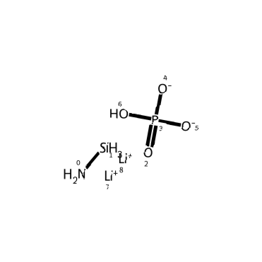 N[SiH3].O=P([O-])([O-])O.[Li+].[Li+]